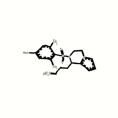 COc1cc(C)c(S(=O)(=O)N2CCn3cccc3C2CCCC(=O)O)c(C)c1